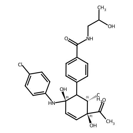 CC(=O)[C@]1(O)C=C[C@](O)(Nc2ccc(Cl)cc2)C(c2ccc(C(=O)NCC(C)O)cc2)[C@@H]1C